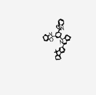 CC1(C)c2ccccc2-c2ccc(-c3cc4ccccc4c(-c4cc(-c5nc6ccccc6o5)cc(-c5nc6ccccc6o5)c4)n3)cc21